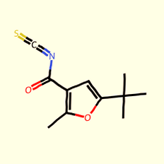 Cc1oc(C(C)(C)C)cc1C(=O)N=C=S